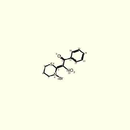 O=C(C(=C1SCCCN1Br)[N+](=O)[O-])c1ccccc1